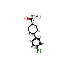 CC(C)(C)C(=O)C1CCC(c2ccc(Cl)cc2)CC1